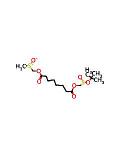 C[S+]([O-])COC(=O)CCCCCCC(=O)OCS(=O)OC(C)(C)C